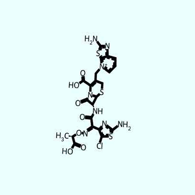 C[C@H](O/N=C(\C(=O)N[C@@H]1C(=O)N2C(C(=O)O)=C(C[n+]3cccc4nc(N)sc43)CSC12)c1nc(N)sc1Cl)C(=O)O